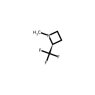 CN1CC[C@H]1C(F)(F)F